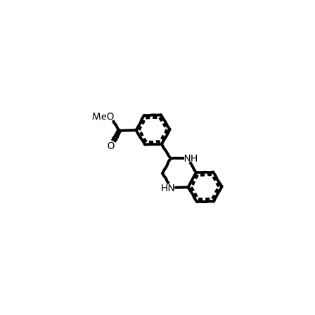 COC(=O)c1cccc(C2CNc3ccccc3N2)c1